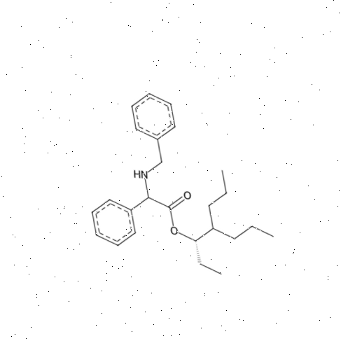 CCCC(CCC)[C@H](CC)OC(=O)C(NCc1ccccc1)c1ccccc1